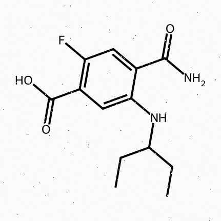 CCC(CC)Nc1cc(C(=O)O)c(F)cc1C(N)=O